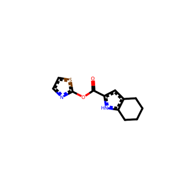 O=C(Oc1nccs1)c1cc2c([nH]1)CCCC2